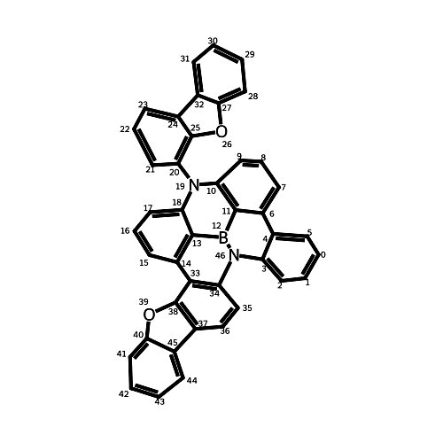 c1ccc2c(c1)-c1cccc3c1B1c4c(cccc4N3c3cccc4c3oc3ccccc34)-c3c(ccc4c3oc3ccccc34)N12